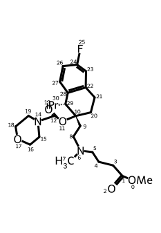 COC(=O)CCCN(C)CC[C@]1(OC(=O)N2CCOCC2)CCc2cc(F)ccc2[C@H]1C(C)C